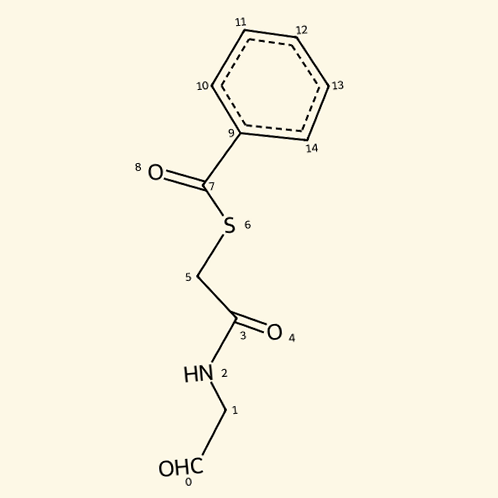 O=CCNC(=O)CSC(=O)c1ccccc1